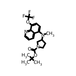 CN(c1ccc(OC(F)(F)F)c2ncccc12)C1CCN(C(=O)OC(C)(C)C)C1